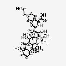 CN(C)[C@H]1C(O)=C(C(=O)NC(C(=O)O)N2CCN(CCO)CC2)C(=O)[C@]2(O)C(O)=C3C(=O)c4c(O)cccc4[C@](C)(O)C3CC12